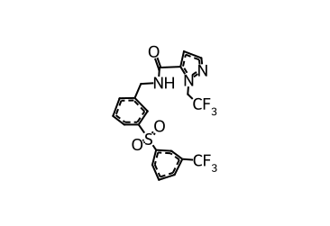 O=C(NCc1cccc(S(=O)(=O)c2cccc(C(F)(F)F)c2)c1)c1ccnn1CC(F)(F)F